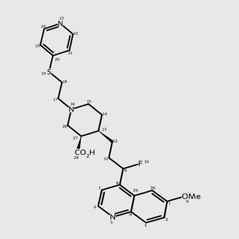 COc1ccc2nccc(C(F)CC[C@@H]3CCN(CCSc4ccncc4)C[C@@H]3C(=O)O)c2c1